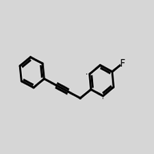 Fc1c[c]c(CC#Cc2ccccc2)[c]c1